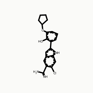 N=C(N)c1cc2cc(-c3cccc(OC4CCCC4)c3O)[nH]c2cc1Cl